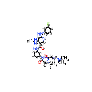 CCCNc1cc(Nc2cccc(F)c2)ncc1C(=O)Nc1cccc(NC(=O)[C@H](C)N(C)C(=O)/C=C/CN(C)C)c1